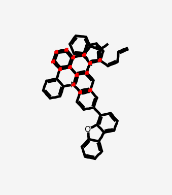 C=C/C=C\c1c(C)c2ccccc2n1-c1ccccc1-c1ccccc1-c1ccccc1N(c1ccc(-c2cccc3c2oc2ccccc23)cc1)c1cc2ccccc2c2ccccc12